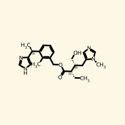 CC[C@H](C(=O)OCc1cccc([C@H](C)c2c[nH]cn2)c1C)[C@H](CO)Cc1cncn1C